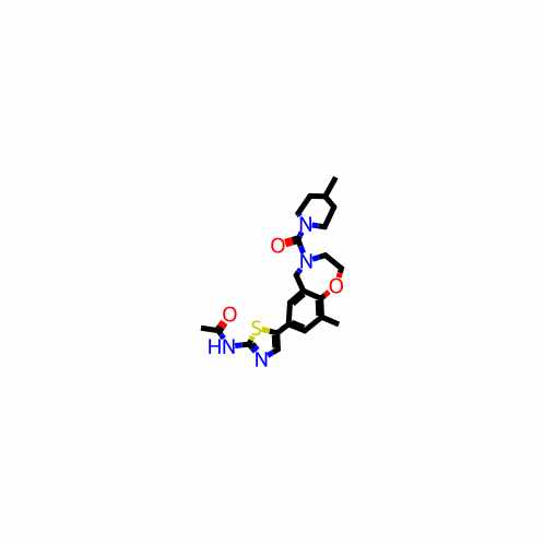 CC(=O)Nc1ncc(-c2cc(C)c3c(c2)CN(C(=O)N2CCC(C)CC2)CCO3)s1